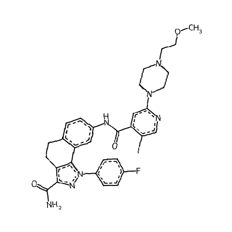 COCCN1CCN(c2cc(C(=O)Nc3ccc4c(c3)-c3c(c(C(N)=O)nn3-c3ccc(F)cc3)CC4)c(I)cn2)CC1